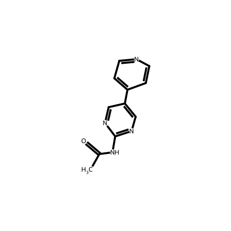 CC(=O)Nc1ncc(-c2ccncc2)cn1